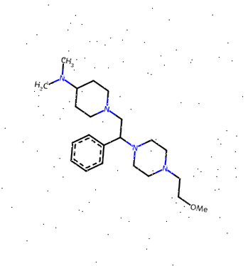 COCCN1CCN(C(CN2CCC(N(C)C)CC2)c2ccccc2)CC1